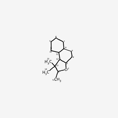 CC1OC2CCC3CCCCC3C2C1(C)C